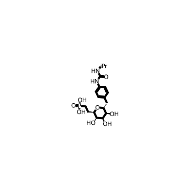 CC(C)NC(=O)Nc1ccc(C[C@H]2O[C@H](CCP(=O)(O)O)[C@@H](O)[C@H](O)[C@@H]2O)cc1